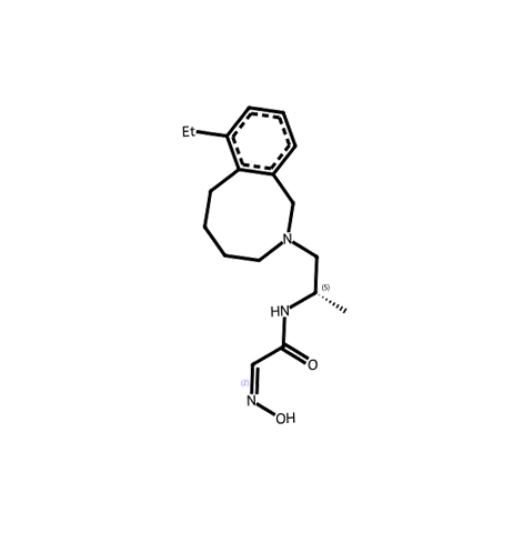 CCc1cccc2c1CCCCN(C[C@H](C)NC(=O)/C=N\O)C2